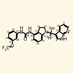 [2H]C([2H])(c1c[nH]c2ncccc12)N1CCc2c(NC(=O)Nc3cccc(OC(F)(F)F)c3)cccc21